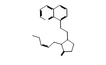 CC/C=C\CC1C(=O)CCC1CCc1cccc2cccnc12